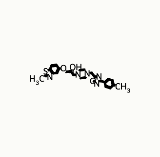 Cc1ccc(-c2noc(CN3CCN(C[C@@H](O)COc4ccc5sc(C)nc5c4)CC3)n2)cc1